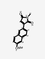 COc1ccc2cc(C3=CC(=O)N(C)C3=O)ccc2c1